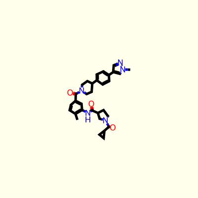 Cc1ccc(C(=O)N2CCC(c3ccc(-c4cnn(C)c4)cc3)CC2)cc1NC(=O)C1CCN(C(=O)C2CC2)C1